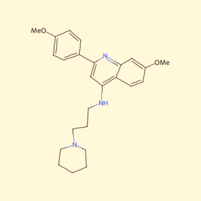 COc1ccc(-c2cc(NCCCN3CCCCC3)c3ccc(OC)cc3n2)cc1